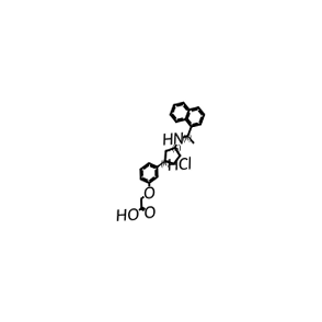 C[C@@H](N[C@H]1CC[C@@H](c2cccc(OCC(=O)O)c2)C1)c1cccc2ccccc12.Cl